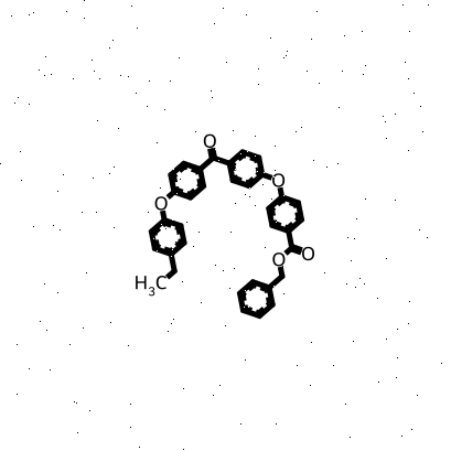 CCc1ccc(Oc2ccc(C(=O)c3ccc(Oc4ccc(C(=O)OCc5ccccc5)cc4)cc3)cc2)cc1